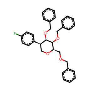 Fc1ccc([C@@H]2CO[C@H](COCc3ccccc3)[C@H](OCc3ccccc3)[C@@H]2OCc2ccccc2)cc1